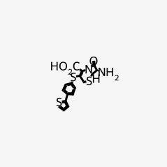 N[C@@H]1C(=O)N2C(C(=O)O)=C(Sc3ccc(-c4cccs4)cc3)CS[C@H]12